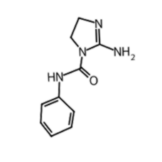 NC1=NCCN1C(=O)Nc1ccccc1